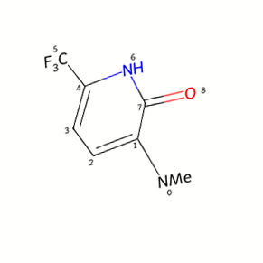 CNc1ccc(C(F)(F)F)[nH]c1=O